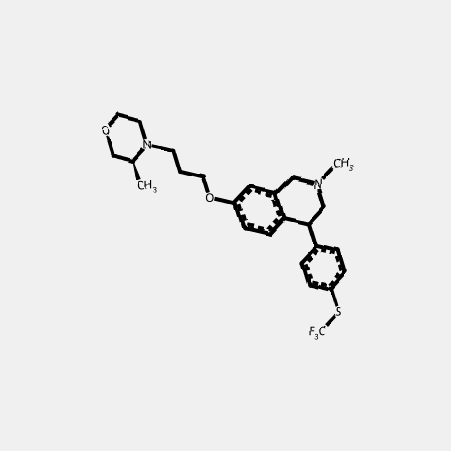 C[C@H]1COCCN1CCCOc1ccc2c(c1)CN(C)CC2c1ccc(SC(F)(F)F)cc1